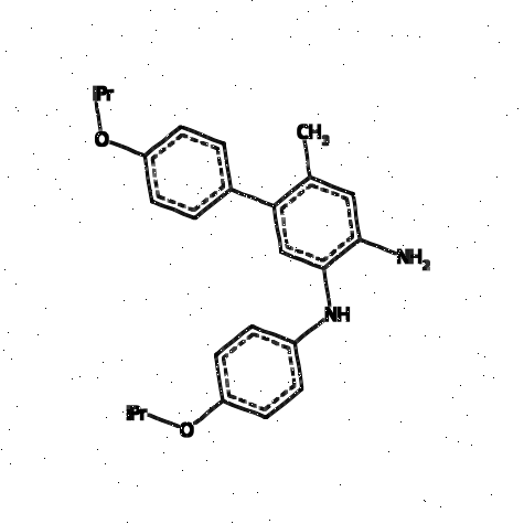 Cc1cc(N)c(Nc2ccc(OC(C)C)cc2)cc1-c1ccc(OC(C)C)cc1